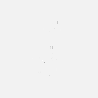 CN(C)C(=O)c1ccnc(/C=C2/C(=O)N3[C@@H](C(=O)O)C(C)(C)S(=O)(=O)[C@H]23)c1